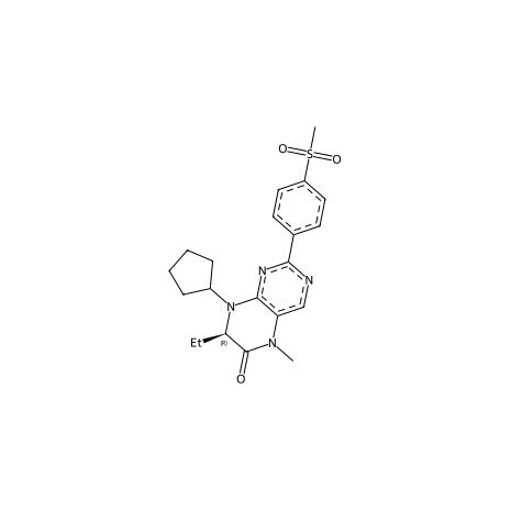 CC[C@@H]1C(=O)N(C)c2cnc(-c3ccc(S(C)(=O)=O)cc3)nc2N1C1CCCC1